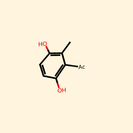 CC(=O)c1c(O)ccc(O)c1C